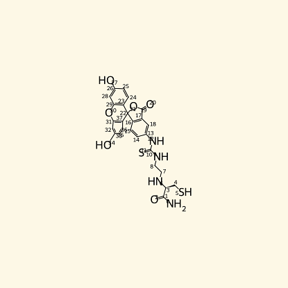 NC(=O)[C@H](CS)NCCNC(=S)Nc1ccc2c(c1)C(=O)OC21c2ccc(O)cc2Oc2cc(O)ccc21